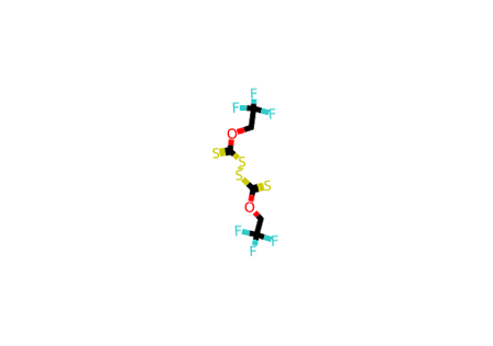 FC(F)(F)COC(=S)SSC(=S)OCC(F)(F)F